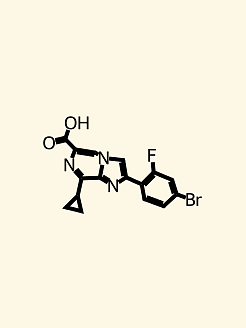 O=C(O)c1cn2cc(-c3ccc(Br)cc3F)nc2c(C2CC2)n1